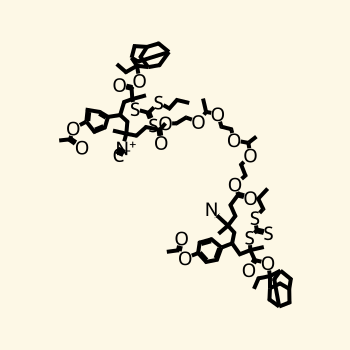 [C-]#[N+]C(C)(CCC(=O)OCCOC(C)OCCOC(C)OCCOC(=O)CCC(C)(C#N)CC(CC(C)(SC(=S)SCCC)C(=O)OC1(CC)C2CC3CC(C2)CC1C3)c1ccc(OC(C)=O)cc1)CC(CC(C)(SC(=S)SCCC)C(=O)OC1(CC)C2CC3CC(C2)CC1C3)c1ccc(OC(C)=O)cc1